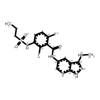 CCCS(=O)(=O)Nc1ccc(F)c(C(=O)Nc2cnc3[nH]nc(NC)c3c2)c1F